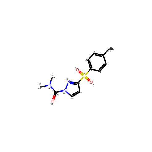 CCC(C)c1ccc(S(=O)(=O)c2ccn(C(=O)N(CC)CC)n2)cc1